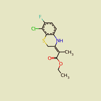 CCOC(=O)/C(C)=C1\CSc2c(ccc(F)c2Cl)N1